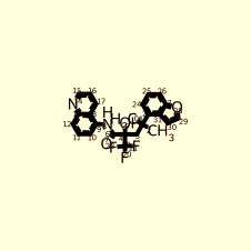 CC(C)(CC(O)(C(=O)Nc1cccc2ncccc12)C(F)(F)F)c1cccc2occc12